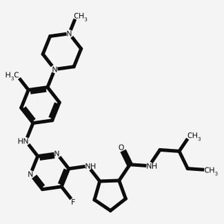 CCC(C)CNC(=O)C1CCCC1Nc1nc(Nc2ccc(N3CCN(C)CC3)c(C)c2)ncc1F